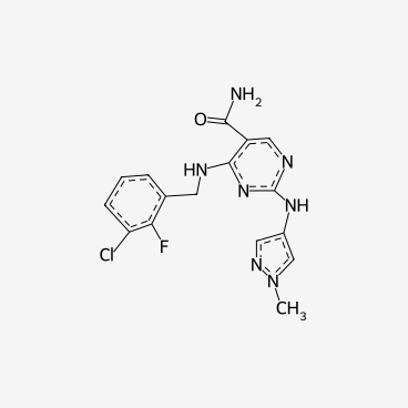 Cn1cc(Nc2ncc(C(N)=O)c(NCc3cccc(Cl)c3F)n2)cn1